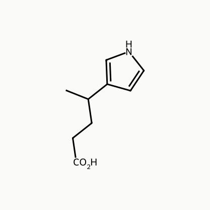 CC(CCC(=O)O)c1cc[nH]c1